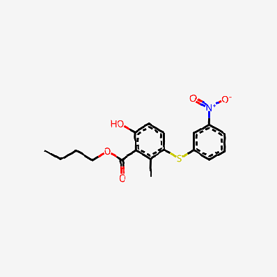 CCCCOC(=O)c1c(O)ccc(Sc2cccc([N+](=O)[O-])c2)c1C